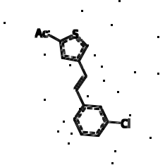 CC(=O)c1cc(C=Cc2cccc(Cl)c2)cs1